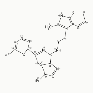 Cc1[nH]c2c(c1CCNC1N=C(C3C=NC=C(F)C3)N=C3C1N=CN3C(C)C)C=CCC2